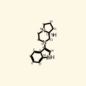 c1ccc2c(N3CCN4CCC[C@H]4C3)c[nH]c2c1